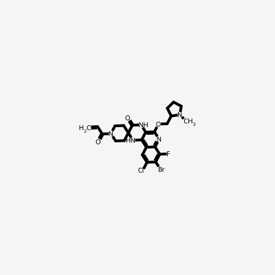 C=CC(=O)N1CCC2(CC1)Nc1c(c(OCC3CCCN3C)nc3c(F)c(Br)c(Cl)cc13)NC2=O